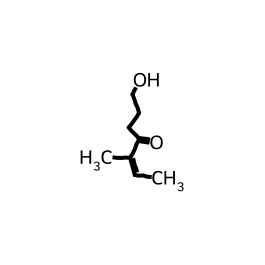 CC=C(C)C(=O)CCCO